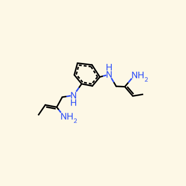 C/C=C(\N)CNc1cccc(NC/C(N)=C/C)c1